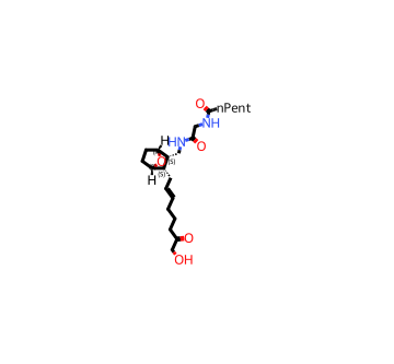 CCCCCC(=O)NCC(=O)NC[C@@H]1[C@H](CC=CCCCC(=O)CO)[C@@H]2CC[C@H]1O2